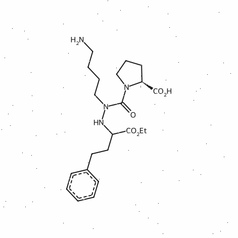 CCOC(=O)C(CCc1ccccc1)NN(CCCCN)C(=O)N1CCC[C@H]1C(=O)O